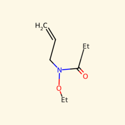 C=CCN(OCC)C(=O)CC